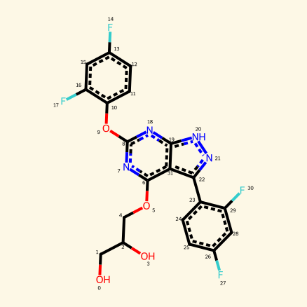 OCC(O)COc1nc(Oc2ccc(F)cc2F)nc2[nH]nc(-c3ccc(F)cc3F)c12